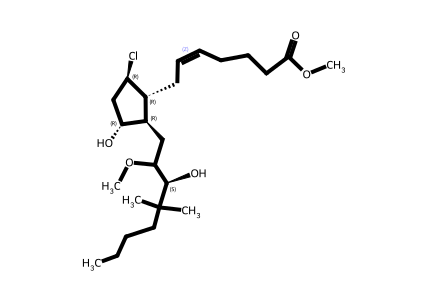 CCCCC(C)(C)[C@H](O)C(C[C@@H]1[C@@H](C/C=C\CCCC(=O)OC)[C@H](Cl)C[C@H]1O)OC